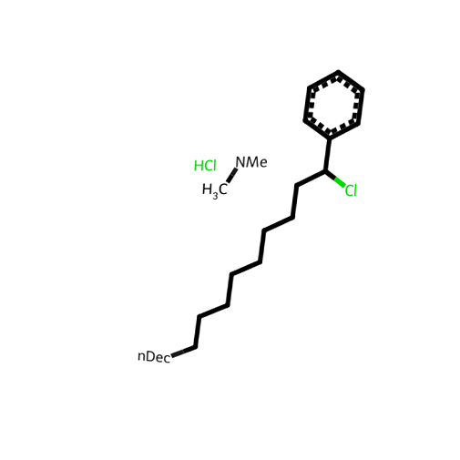 CCCCCCCCCCCCCCCCCCC(Cl)c1ccccc1.CNC.Cl